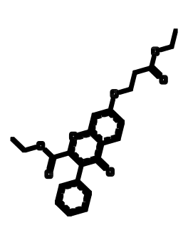 CCOC(=O)CCOc1ccc2c(=O)c(-c3ccccc3)c(C(=O)OCC)oc2c1